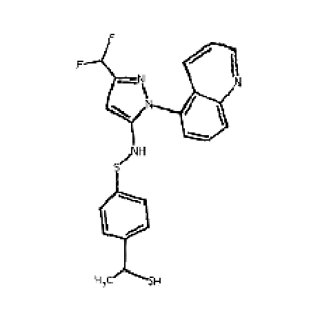 CC(S)c1ccc(SNc2cc(C(F)F)nn2-c2cccc3ncccc23)cc1